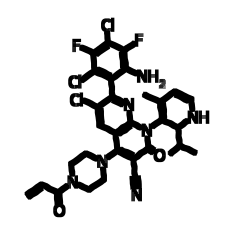 C=CC(=O)N1CCN(c2c(C#N)c(=O)n(C3=C(C)C=CNC3C(C)C)c3nc(-c4c(N)c(F)c(Cl)c(F)c4Cl)c(Cl)cc23)CC1